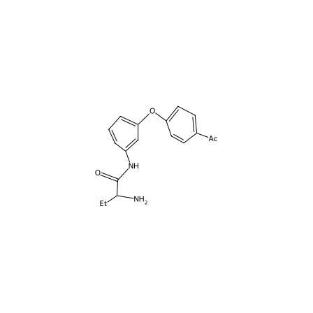 CCC(N)C(=O)Nc1cccc(Oc2ccc(C(C)=O)cc2)c1